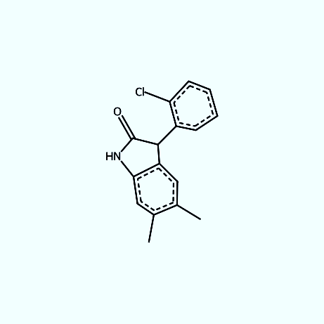 Cc1cc2c(cc1C)C(c1ccccc1Cl)C(=O)N2